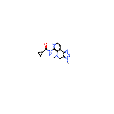 CN1Cc2c(nnn2C)-c2ccnc(NC(=O)C3CC3)c21